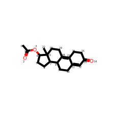 CC(=O)OC1CCC2C3CCC4=CC(=O)CCC4=C3CCC12C